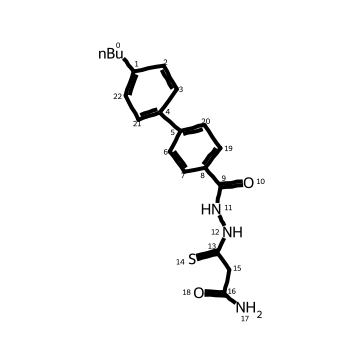 CCCCc1ccc(-c2ccc(C(=O)NNC(=S)CC(N)=O)cc2)cc1